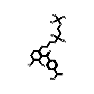 BC(C)(C)OCCC(C)(C)OCCOC1=C(C(=O)c2ccc(C(=O)OC)cc2)C(P)=C(P)CC1